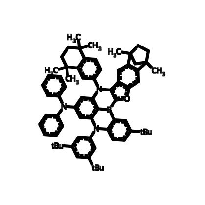 CC(C)(C)c1cc(N2c3ccc(C(C)(C)C)cc3B3c4oc5cc6c(cc5c4N(c4ccc5c(c4)C(C)(C)CCC5(C)C)c4cc(N(c5ccccc5)c5ccccc5)cc2c43)C2(C)CCC6(C)C2)cc(C(C)(C)C)c1